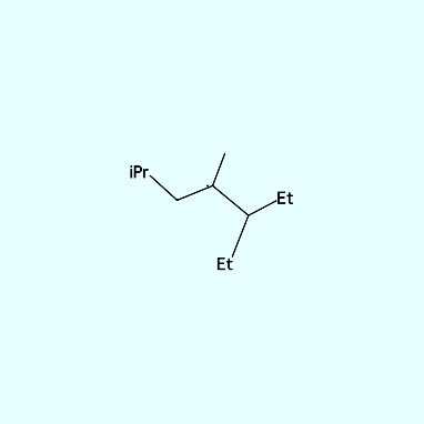 CCC(CC)[C](C)CC(C)C